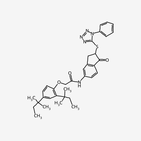 CCC(C)(C)c1ccc(OCC(=O)Nc2ccc3c(c2)CC(Sc2nnnn2-c2ccccc2)C3=O)c(C(C)(C)CC)c1